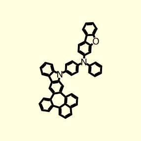 c1ccc(N(c2ccc(-n3c4ccccc4c4cc5c(cc43)-c3cccc4cccc(c34)-c3ccccc3-5)cc2)c2ccc3c(c2)oc2ccccc23)cc1